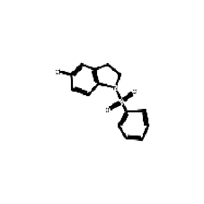 O=S(=O)(c1ccccc1)N1CCc2cc(Cl)ccc21